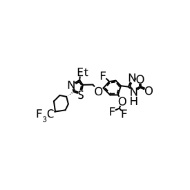 CCc1nc([C@H]2CC[C@H](C(F)(F)F)CC2)sc1COc1cc(OC(F)F)c(-c2noc(=O)[nH]2)cc1F